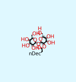 CCCCCCCCCCCC(=O)O[C@H]1[C@@H](O[C@H]2O[C@H](CO)[C@@H](O)[C@H](O)[C@H]2O)O[C@H](CO)[C@@H](O)[C@@H]1O